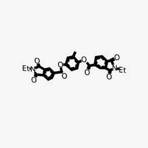 CCN1C(=O)c2ccc(C(=O)Oc3ccc(OC(=O)c4ccc5c(c4)C(=O)N(CC)C5=O)c(C)c3)cc2C1=O